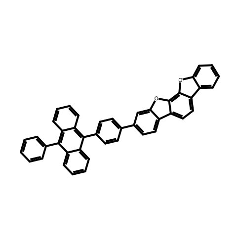 c1ccc(-c2c3ccccc3c(-c3ccc(-c4ccc5c(c4)oc4c5ccc5c6ccccc6oc54)cc3)c3ccccc23)cc1